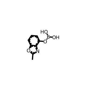 Cc1nc2c(OB(O)O)cccc2o1